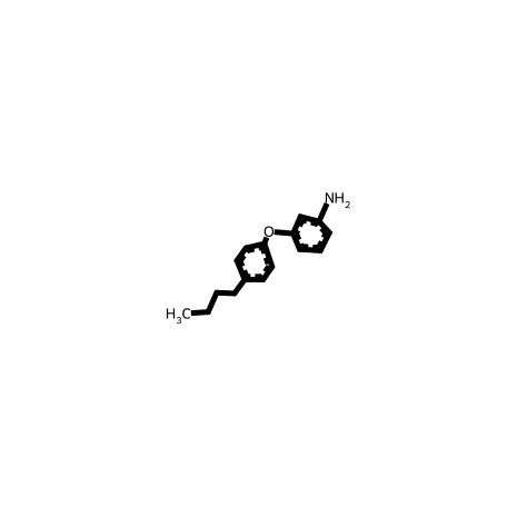 CCCCc1ccc(Oc2cccc(N)c2)cc1